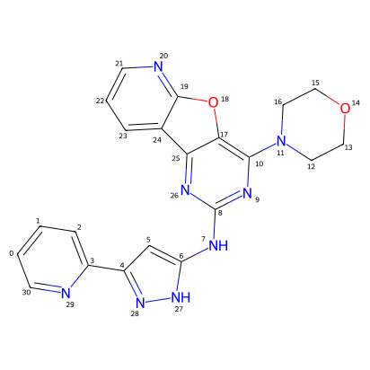 c1ccc(-c2cc(Nc3nc(N4CCOCC4)c4oc5ncccc5c4n3)[nH]n2)nc1